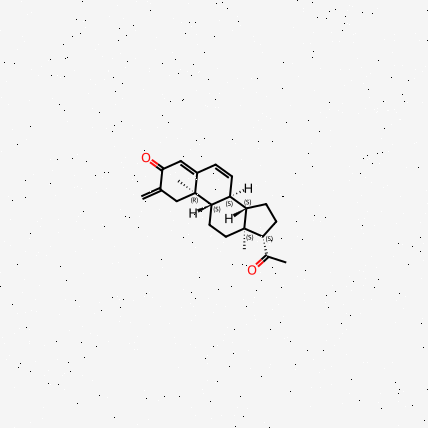 C=C1C[C@@]2(C)C(=CC1=O)C=C[C@H]1[C@@H]3CC[C@H](C(C)=O)[C@@]3(C)CC[C@@H]12